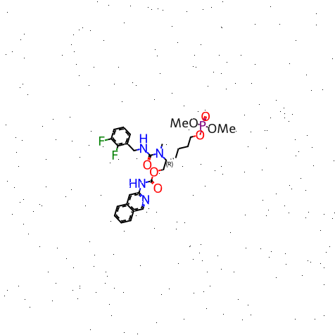 COP(=O)(OC)OCCCC[C@H](COC(=O)Nc1cc2ccccc2cn1)N(C)C(=O)NCc1cccc(F)c1F